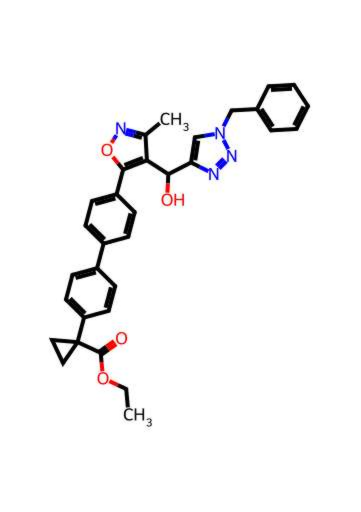 CCOC(=O)C1(c2ccc(-c3ccc(-c4onc(C)c4C(O)c4cn(Cc5ccccc5)nn4)cc3)cc2)CC1